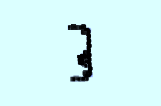 CCCCCCOC(=O)/C=C\CCCCCCCCC(CCCCCCCC/C=C\C(=O)OCCCCCC)OC(=O)CC(C)(C)CC(C)(C)CN(C)C